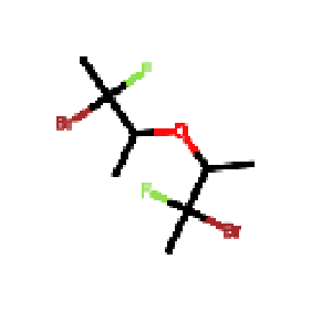 CC(OC(C)C(C)(F)Br)C(C)(F)Br